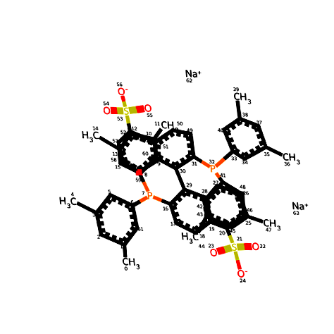 Cc1cc(C)cc(P(c2cc(C)cc(C)c2)c2ccc3c(S(=O)(=O)[O-])cccc3c2-c2c(P(c3cc(C)cc(C)c3)c3cc(C)cc(C)c3)ccc3c(S(=O)(=O)[O-])cccc23)c1.[Na+].[Na+]